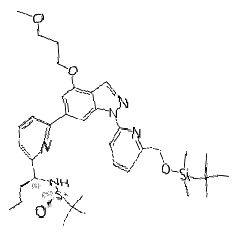 CCC[C@H](N[S@+]([O-])C(C)(C)C)c1cccc(-c2cc(OCCCOC)c3cnn(-c4cccc(CO[Si](C)(C)C(C)(C)C)n4)c3c2)n1